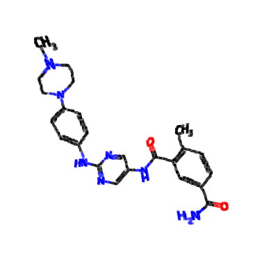 Cc1ccc(C(N)=O)cc1C(=O)Nc1cnc(Nc2ccc(N3CCN(C)CC3)cc2)nc1